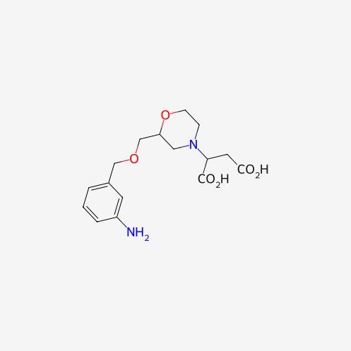 Nc1cccc(COCC2CN(C(CC(=O)O)C(=O)O)CCO2)c1